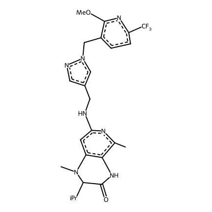 COc1nc(C(F)(F)F)ccc1Cn1cc(CNc2cc3c(c(C)n2)NC(=O)C(C(C)C)N3C)cn1